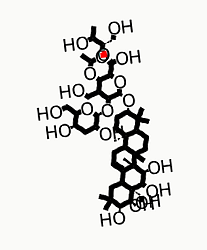 CC(OC1C(C(=O)O)O[C@@H](O[C@H]2CC[C@@]3(C)C(CCC4(C)C3CC=C3C5CC(C)(C)[C@@H](O)[C@H](O)[C@]5(CO)C(O)[C@H](O)[C@]34C)C2(C)C)C(O[C@@H]2OC(CO)[C@H](O)CC2O)C1CO)O[C@@H](CO)C(C)O